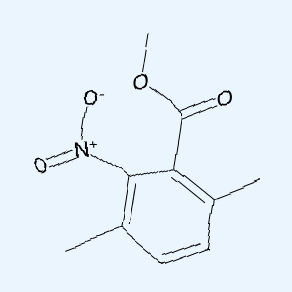 COC(=O)c1c(C)ccc(C)c1[N+](=O)[O-]